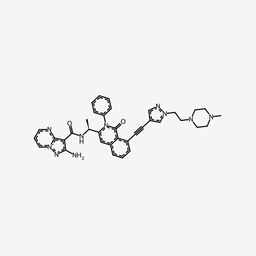 C[C@H](NC(=O)c1c(N)nn2cccnc12)c1cc2cccc(C#Cc3cnn(CCN4CCN(C)CC4)c3)c2c(=O)n1-c1ccccc1